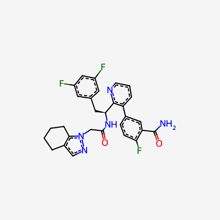 NC(=O)c1cc(-c2cccnc2[C@H](Cc2cc(F)cc(F)c2)NC(=O)Cn2ncc3c2CCCC3)ccc1F